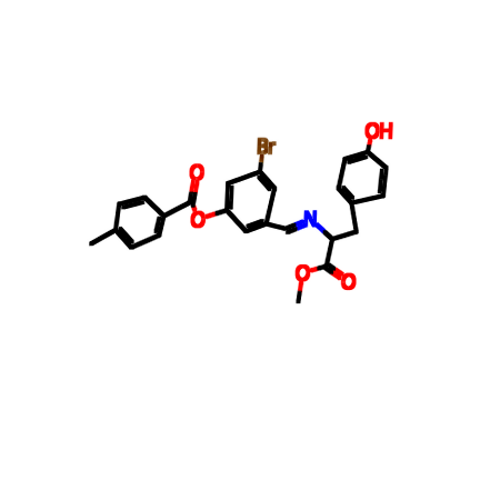 COC(=O)C(Cc1ccc(O)cc1)N=Cc1cc(Br)cc(OC(=O)c2ccc(C)cc2)c1